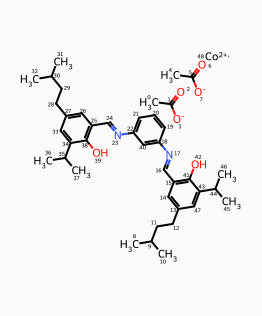 CC(=O)[O-].CC(=O)[O-].CC(C)CCc1cc(C=Nc2cccc(N=Cc3cc(CCC(C)C)cc(C(C)C)c3O)c2)c(O)c(C(C)C)c1.[Co+2]